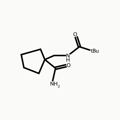 CC(C)(C)C(=O)NCC1(C(N)=O)CCCC1